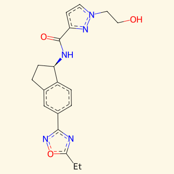 CCc1nc(-c2ccc3c(c2)CC[C@H]3NC(=O)c2ccn(CCO)n2)no1